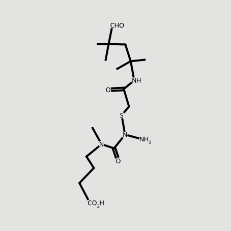 CN(CCCC(=O)O)C(=O)N(N)SCC(=O)NC(C)(C)CC(C)(C)C=O